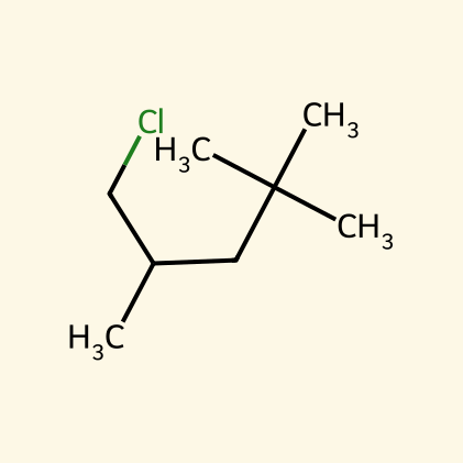 CC(CCl)CC(C)(C)C